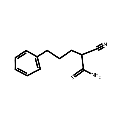 N#CC(CCCc1ccccc1)C(N)=S